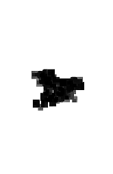 Nc1ncnc2c1ncn2[C@@H]1O[C@H](CO)[C@@H](O)[C@@]1(N)O.O=P(O)(O)O.O=P(O)(O)O.O=P(O)(O)O